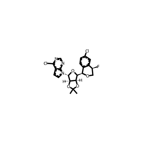 CC1(C)O[C@@H]2[C@H](O1)C([C@@H]1OC[C@H](F)c3cc(Cl)ccc31)O[C@H]2n1ccc2c(Cl)ncnc21